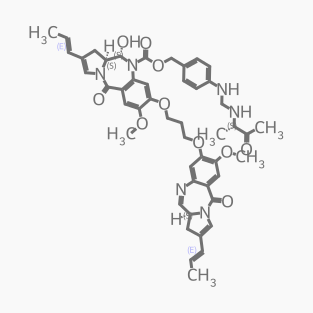 C/C=C/C1=CN2C(=O)c3cc(OC)c(OCCCOc4cc5c(cc4OC)C(=O)N4C=C(/C=C/C)C[C@H]4[C@H](O)N5C(=O)OCc4ccc(NCN[C@@H](C)C(C)=O)cc4)cc3N=C[C@@H]2C1